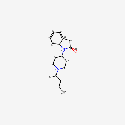 CC(C)CCC(C)N1CCC(N2C(=O)Cc3ccccc32)CC1